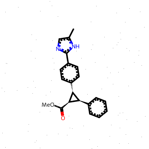 COC(=O)[C@@H]1[C@H](c2ccccc2)[C@H]1c1ccc(-c2ncc(C)[nH]2)cc1